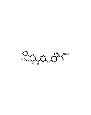 CNC(=O)n1ccc2cc(Oc3ccnc(NC(=O)N[C@@H](CO)C(=O)N4CCCC4)c3)ccc21